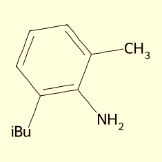 CCC(C)c1cccc(C)c1N